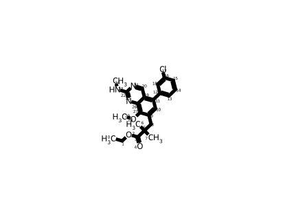 CCOC(=O)C(C)(C)Cc1cc(-c2cccc(Cl)c2)c2cnc(NC)nc2c1OC